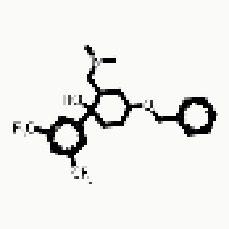 CN(C)CC1CC(OCc2ccccc2)CCC1(O)c1cc(C(F)(F)F)cc(C(F)(F)F)c1